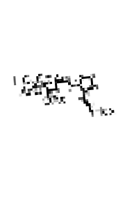 CCCCCC/C=C/C1=CCC[C@@H]1C/C=C\CC(OC(C)=O)C(OC(C)=O)(OC(C)=O)C(=O)O